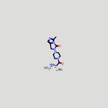 CC[C@H](C)[C@@H](NC(=O)O)C(=O)N1CCN(N2Cc3cnc(C)n3C2=O)CC1